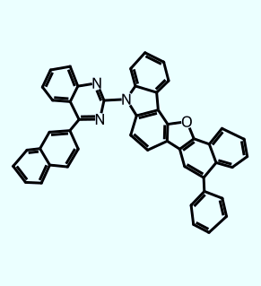 c1ccc(-c2cc3c4ccc5c(c6ccccc6n5-c5nc(-c6ccc7ccccc7c6)c6ccccc6n5)c4oc3c3ccccc23)cc1